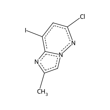 Cc1cn2nc(Cl)cc(I)c2n1